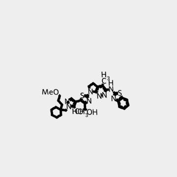 COCCCC1(Cn2ncc(-c3sc(N4CCc5c4nnc(Nc4nc6ccccc6s4)c5C)nc3C(O)O)c2C)CCCCC1